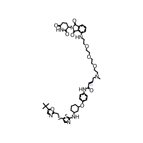 CN(C/C=C/C(=O)Nc1ccc(OC2CCCC(Nc3ncc(SCc4ncc(C(C)(C)C)o4)s3)C2)cc1)CCOCCOCCOCCNc1cccc2c1C(=O)N(C1CCC(=O)NC1=O)C2=O